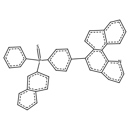 S=P(c1ccccc1)(c1ccc(-c2cc3cccnc3c3c2ccc2ccccc23)cc1)c1ccc2ccccc2c1